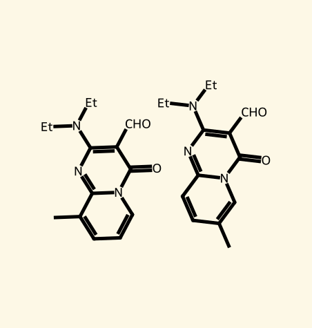 CCN(CC)c1nc2c(C)cccn2c(=O)c1C=O.CCN(CC)c1nc2ccc(C)cn2c(=O)c1C=O